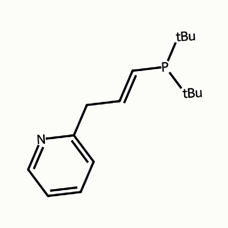 CC(C)(C)P(C=CCc1ccccn1)C(C)(C)C